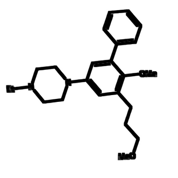 CCN1CCN(c2cc(CCCOC)c(OC)c(-c3ccccc3)c2)CC1